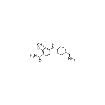 COc1cc(N[C@H]2CC[C@H](CN)CC2)ccc1C(N)=O